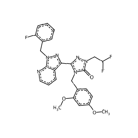 COc1ccc(Cn2c(-c3nn(Cc4ccccc4F)c4ncccc34)nn(CC(F)F)c2=O)c(OC)c1